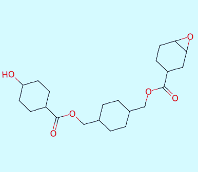 O=C(OCC1CCC(COC(=O)C2CCC3OC3C2)CC1)C1CCC(O)CC1